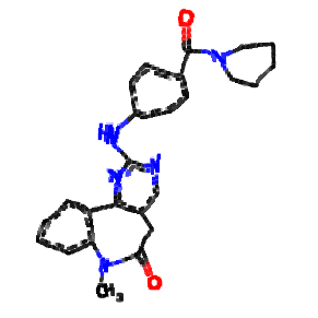 CN1C(=O)Cc2cnc(Nc3ccc(C(=O)N4CCCCC4)cc3)nc2-c2ccccc21